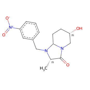 C[C@H]1C(=O)N2C[C@@H](O)CCC2N1Cc1cccc([N+](=O)[O-])c1